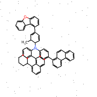 CC1C=C(c2cccc3oc4ccccc4c23)C=CC1N(c1ccc(-c2cccc3c2ccc2ccccc23)cc1)c1ccccc1-c1cccc2cccc(C3CCCCC3)c12